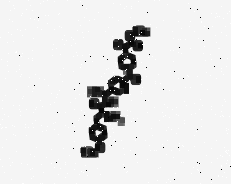 CC(C)(C)OC(=O)C(=O)C1CCN(C(=O)c2ccc(C(=N)NC(=O)[C@@H](N)Cc3ccc(OC(C)(C)C)cc3)cn2)CC1